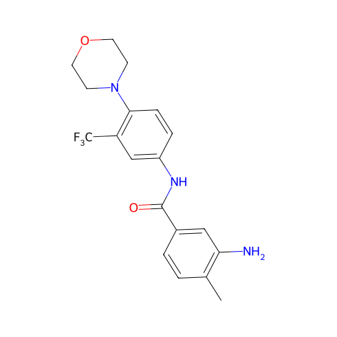 Cc1ccc(C(=O)Nc2ccc(N3CCOCC3)c(C(F)(F)F)c2)cc1N